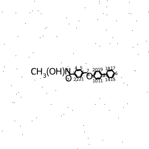 CN(O)C(=O)c1ccc(COc2ccc(-c3ccccc3)cc2)cc1